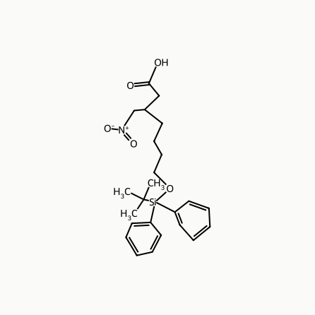 CC(C)(C)[Si](OCCCCC(CC(=O)O)C[N+](=O)[O-])(c1ccccc1)c1ccccc1